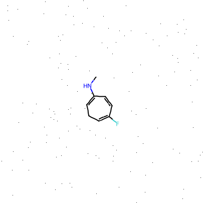 CNC1=CCC=C(F)C=C1